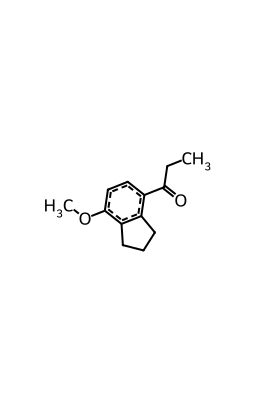 CCC(=O)c1ccc(OC)c2c1CCC2